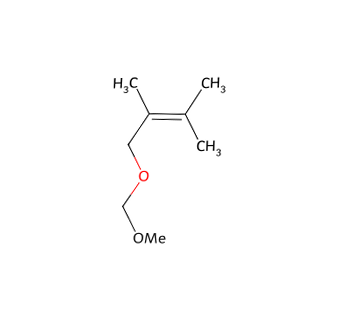 COCOCC(C)=C(C)C